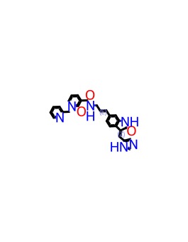 O=C1Nc2cc(/C=C/CNC(=O)c3cccn(Cc4ccccn4)c3=O)ccc2/C1=C/c1cnc[nH]1